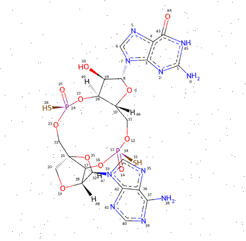 Nc1nc2c(ncn2[C@@H]2O[C@@H]3CO[P@@](=O)(S)O[C@H]4[C@H]5OC[C@]4(CO[P@@](=O)(S)O[C@H]3[C@H]2O)O[C@H]5n2cnc3c(N)ncnc32)c(=O)[nH]1